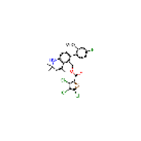 COc1cc(F)ccc1-c1ccc2c(c1COC(=O)c1sc(Cl)c(Cl)c1Cl)C(C)=CC(C)(C)N2